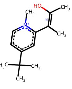 C/C(O)=C(\C)c1cc(C(C)(C)C)cc[n+]1C